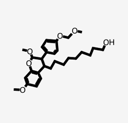 COCOc1ccc(C2C(OC)Oc3cc(OC)ccc3C2CCCCCCCCCO)cc1